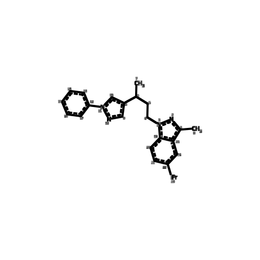 Cc1nn(CCC(C)c2cnn(-c3ccccc3)c2)c2ccc(C(C)C)cc12